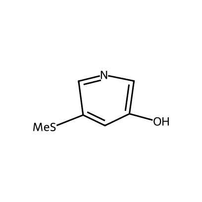 CSc1cncc(O)c1